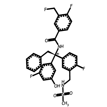 CS(=O)(=O)NCc1cc([C@@](Cc2ccccc2)(NC(=O)c2ccc(F)c(CF)c2)c2cc(O)cc(F)c2)ccc1F